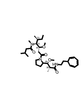 CC[C@H](C)[C@@H]([C@@H](CC(=O)N1CCCC1[C@H](OC)[C@@H](C)C(=O)NCCC1C=CC=CC=C1)OC)N(C)C(=O)CC(C)C